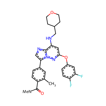 CNC(=O)c1ccc(-c2cnc3c(NCC4CCOCC4)cc(Oc4ccc(F)c(F)c4)nn23)cc1C